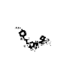 COc1ccc(NC(=O)CN2Cc3c(NC(=O)C4(S(C)(C)C)CCC4)n[nH]c3C2(C)C)cc1